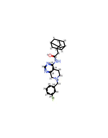 O=C(CC12CC3CC(CC(C3)C1)C2)Nc1ncnc2c1CCN(Cc1cccc(F)c1)C2